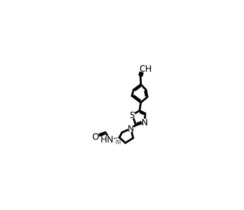 C#Cc1ccc(-c2cnc(N3CC[C@H](NC=O)C3)s2)cc1